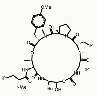 CC[C@H](C)[C@H]1NC(=O)[C@@H](NC(=O)[C@@H](CC(C)C)NC)[C@@H](C)OC(=O)[C@H](Cc2ccc(OC)cc2)N(C)C(=O)[C@@H]2CCCN2C(=O)[C@H](CC(C)C)NC(=O)[C@H](C(C)C)NC(=O)C[C@@H]1O